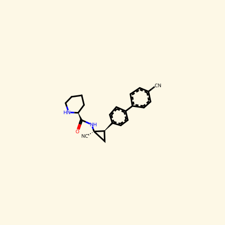 N#Cc1ccc(-c2ccc([C@H]3C[C@@]3(C#N)NC(=O)[C@@H]3CCCCN3)cc2)cc1